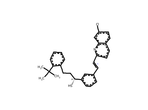 CC(C)(C)c1ccccc1CC[C@@H](S)c1cccc(/C=C/c2ccc3ccc(Cl)cc3n2)c1